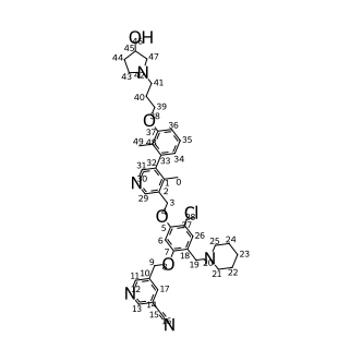 Cc1c(COc2cc(OCc3cncc(C#N)c3)c(CN3CCCCC3)cc2Cl)cncc1-c1cccc(OCCCN2CCC(O)C2)c1C